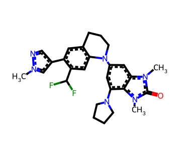 Cn1cc(-c2cc3c(cc2C(F)F)N(c2cc(N4CCCC4)c4c(c2)n(C)c(=O)n4C)CCC3)cn1